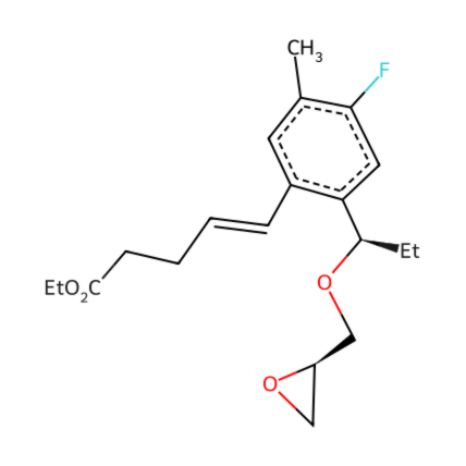 CCOC(=O)CC/C=C/c1cc(C)c(F)cc1[C@@H](CC)OC[C@H]1CO1